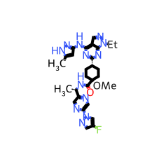 CCn1ncc2c(Nc3cc(C)[nH]n3)nc([C@H]3CC[C@@](OC)(C(=O)N[C@@H](C)c4cnc(-n5cc(F)cn5)cn4)CC3)nc21